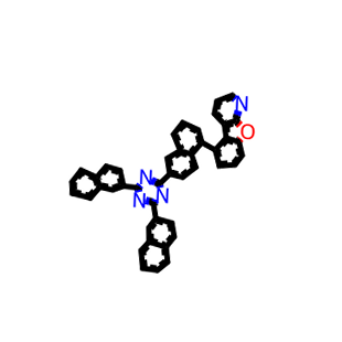 c1ccc2cc(-c3nc(-c4ccc5ccccc5c4)nc(-c4ccc5c(-c6cccc7oc8ncccc8c67)cccc5c4)n3)ccc2c1